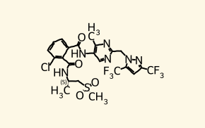 Cc1nc(Cn2nc(C(F)(F)F)cc2C(F)(F)F)ncc1NC(=O)c1cccc(Cl)c1C(=O)N[C@@H](C)CS(C)(=O)=O